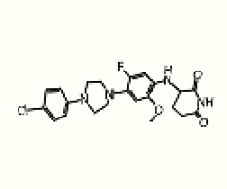 COc1cc(N2CCN(c3ccc(Cl)cc3)CC2)c(F)cc1NC1CCC(=O)NC1=O